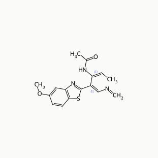 C=N/C=C(\C(=C/C)NC(C)=O)c1nc2cc(OC)ccc2s1